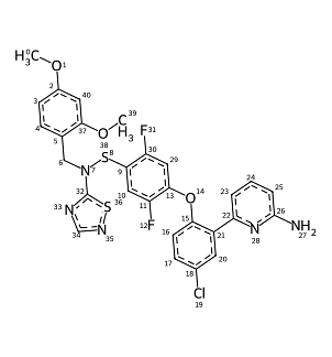 COc1ccc(CN(Sc2cc(F)c(Oc3ccc(Cl)cc3-c3cccc(N)n3)cc2F)c2ncns2)c(OC)c1